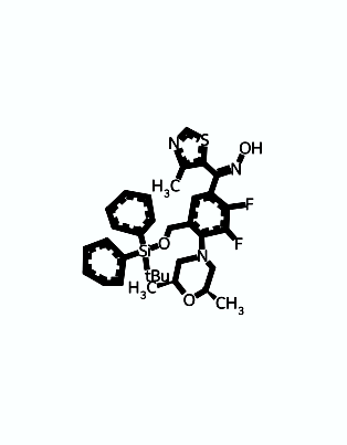 Cc1ncsc1/C(=N\O)c1cc(CO[Si](c2ccccc2)(c2ccccc2)C(C)(C)C)c(N2C[C@@H](C)O[C@@H](C)C2)c(F)c1F